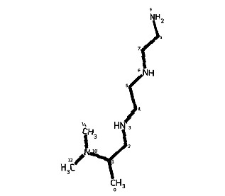 CC(CNCCNCCN)N(C)C